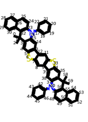 CC1(C)c2cc3sc4cc5c(cc4c3cc2N(c2ccccc2)c2ccc3ccccc3c21)sc1cc2c(cc15)N(c1ccccc1)c1ccc3ccccc3c1C2(C)C